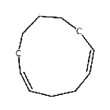 [CH]1CCC=CCCC=CCC1